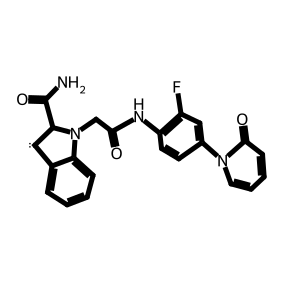 NC(=O)C1[C]c2ccccc2N1CC(=O)Nc1ccc(-n2ccccc2=O)cc1F